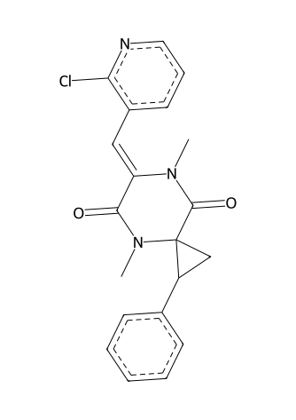 CN1C(=O)C2(CC2c2ccccc2)N(C)C(=O)/C1=C/c1cccnc1Cl